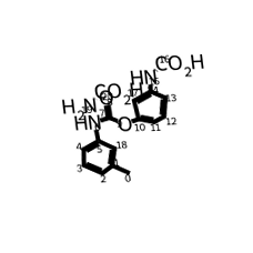 Cc1cccc(NC(=O)Oc2cccc(NC(=O)O)c2)c1.NC(=O)O